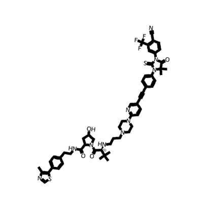 Cc1ncsc1-c1ccc(CCNC(=O)C2CC(O)CN2C(=O)[C@@H](NCCCN2CCN(c3ccc(C#Cc4ccc(N5C(=S)N(c6ccc(C#N)c(C(F)(F)F)c6)C(=O)C5(C)C)cc4)cn3)CC2)C(C)(C)C)cc1